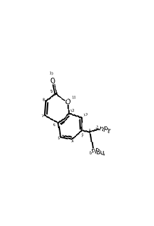 CCCCC(CCC)c1ccc2ccc(=O)oc2c1